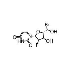 O=c1ccn([C@@H]2O[C@H](C(O)Br)[C@@H](O)[C@H]2F)c(=O)[nH]1